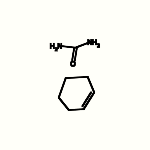 C1=CCCCC1.NC(N)=O